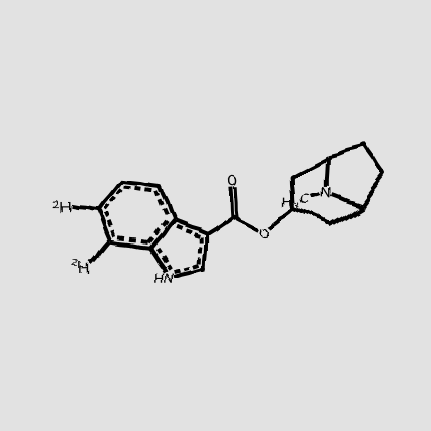 [2H]c1ccc2c(C(=O)OC3CC4CCC(C3)N4C)c[nH]c2c1[2H]